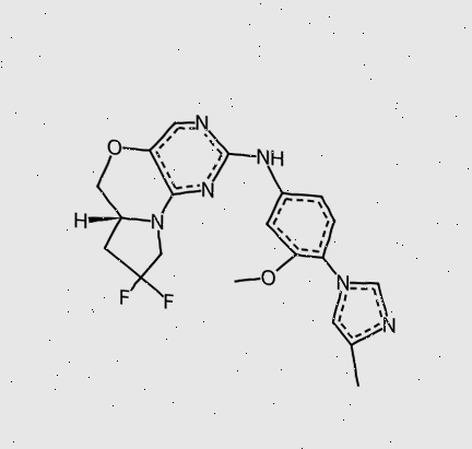 COc1cc(Nc2ncc3c(n2)N2CC(F)(F)C[C@@H]2CO3)ccc1-n1cnc(C)c1